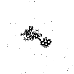 [2H]C[C@H]1O[C@@H](n2cc(C#Cc3ccc4ccc5cccc6ccc3c4c56)c(=O)[nH]c2=O)C[C@H]1OP(O/C=N/CC)N(C(C)C)C(C)C